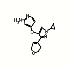 Nc1cc(Oc2cn(C3CC3)nc2C2=CCOCC2)ccn1